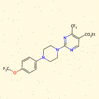 CCOC(=O)c1cnc(N2CCN(c3ccc(OC(F)(F)F)cc3)CC2)nc1C(F)(F)F